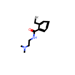 CC(=O)Cc1ccccc1C(=O)NCCN(C)C